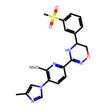 COc1nc(C2=NOCC(c3cccc(S(C)(=O)=O)c3)N2)ccc1-n1cnc(C)c1